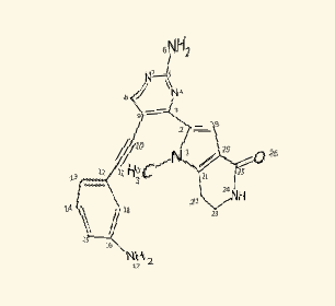 Cn1c(-c2nc(N)ncc2C#Cc2cccc(N)c2)cc2c1CCNC2=O